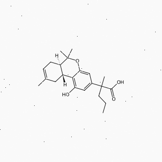 CCCC(C)(C(=O)O)c1cc(O)c2c(c1)OC(C)(C)[C@@H]1CC=C(C)C[C@@H]21